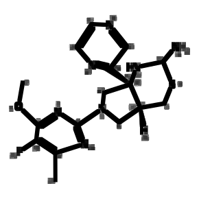 COc1nc(N2C[C@H]3CSC(N)N[C@@]3(c3cnccn3)C2)nc(C)c1F